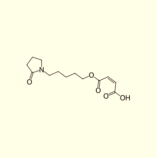 O=C(O)/C=C\C(=O)OCCCCCN1CCCC1=O